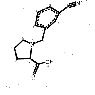 N#Cc1cccc(CN2CCCC2C(=O)O)c1